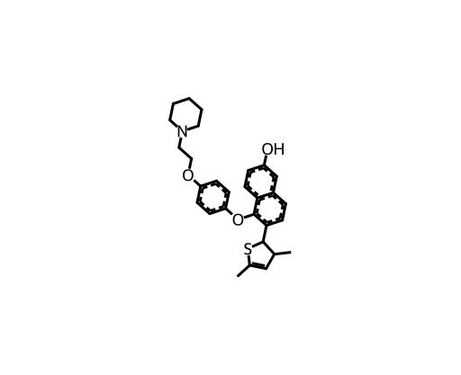 CC1=CC(C)C(c2ccc3cc(O)ccc3c2Oc2ccc(OCCN3CCCCC3)cc2)S1